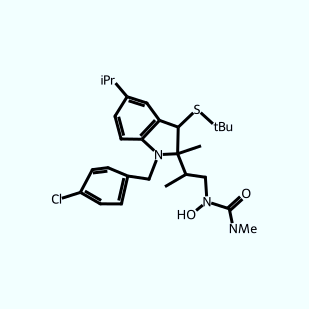 CNC(=O)N(O)CC(C)C1(C)C(SC(C)(C)C)c2cc(C(C)C)ccc2N1Cc1ccc(Cl)cc1